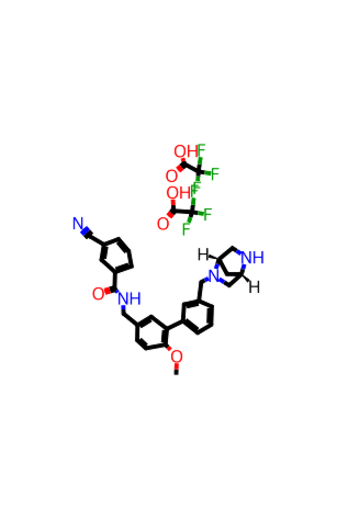 COc1ccc(CNC(=O)c2cccc(C#N)c2)cc1-c1cccc(CN2C[C@@H]3C[C@H]2CN3)c1.O=C(O)C(F)(F)F.O=C(O)C(F)(F)F